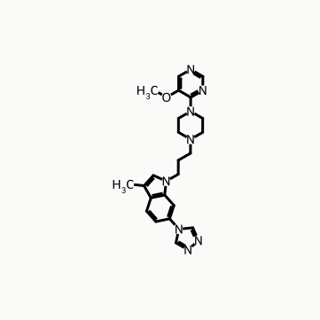 COc1cncnc1N1CCN(CCCn2cc(C)c3ccc(-n4cnnc4)cc32)CC1